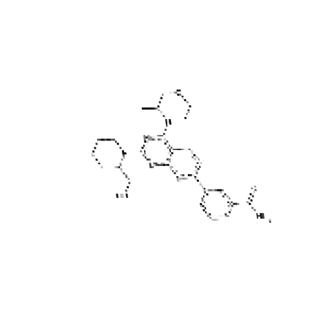 C[C@H]1COCCN1c1nc(N2CCCCC2CO)nc2nc(-c3cccc(C(N)=O)c3)ccc12